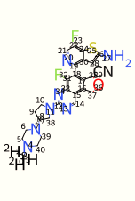 [2H]C([2H])([2H])N1CCN([C@@H]2CCN(c3ncc4c5c(c(-c6ncc(F)c7sc(N)c(C#N)c67)c(F)c4n3)COC5)C2)CC1